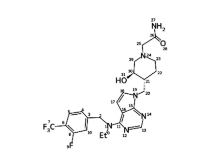 CCN(Cc1ccc(C(F)(F)F)c(F)c1)c1ncnc2c1ccn2C[C@H]1CCN(CC(N)=O)C[C@@H]1O